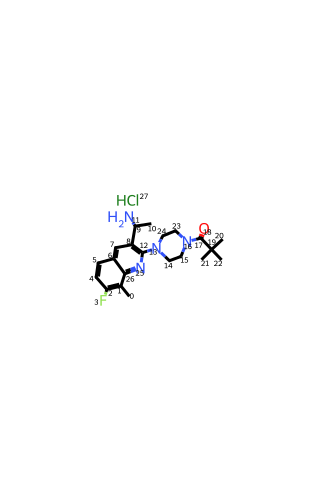 Cc1c(F)ccc2cc(C(C)N)c(N3CCN(C(=O)C(C)(C)C)CC3)nc12.Cl